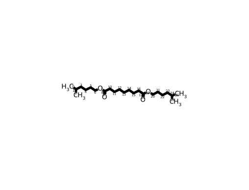 CC(C)CCCCOC(=O)CCCCCCCC(=O)OCCCCC(C)C